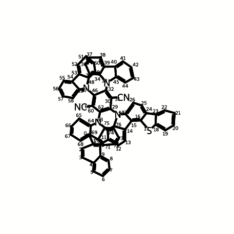 Cc1ccc2ccccc2c1-c1ccc2c3c4sc5ccccc5c4ccc3n(-c3c(C#N)c(-n4c5ccccc5c5ccccc54)c(-n4c5ccccc5c5ccccc54)c(C#N)c3-n3c4ccccc4c4ccccc43)c2c1